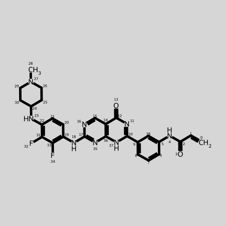 C=CC(=O)Nc1cccc(-c2nc(=O)c3cnc(Nc4ccc(NC5CCN(C)CC5)c(F)c4F)nc3[nH]2)c1